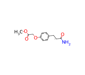 COC(=O)COc1ccc(C[CH]C(N)=O)cc1